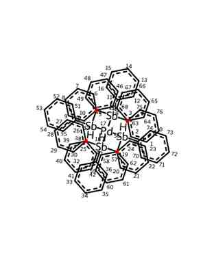 c1cc[c]([SbH]([c]2ccccc2)([c]2ccccc2)[Pd]([SbH]([c]2ccccc2)([c]2ccccc2)[c]2ccccc2)([SbH]([c]2ccccc2)([c]2ccccc2)[c]2ccccc2)[SbH]([c]2ccccc2)([c]2ccccc2)[c]2ccccc2)cc1